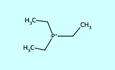 CC[P+](CC)CC